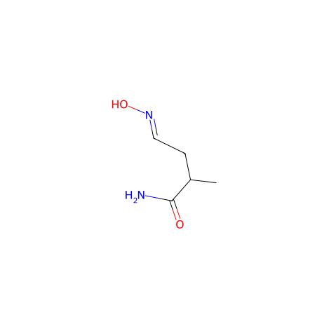 CC(CC=NO)C(N)=O